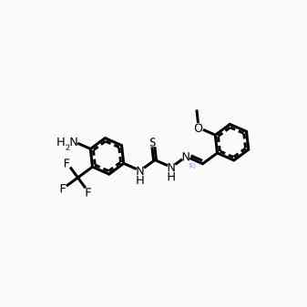 COc1ccccc1/C=N/NC(=S)Nc1ccc(N)c(C(F)(F)F)c1